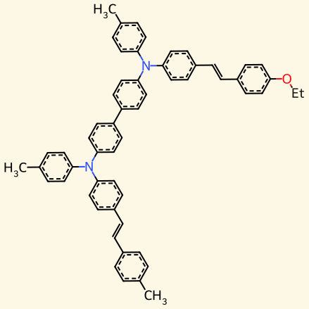 CCOc1ccc(/C=C/c2ccc(N(c3ccc(C)cc3)c3ccc(-c4ccc(N(c5ccc(C)cc5)c5ccc(/C=C/c6ccc(C)cc6)cc5)cc4)cc3)cc2)cc1